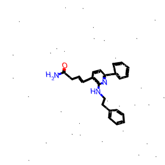 NC(=O)CC=Cc1ccc(-c2ccccc2)nc1NCCc1ccccc1